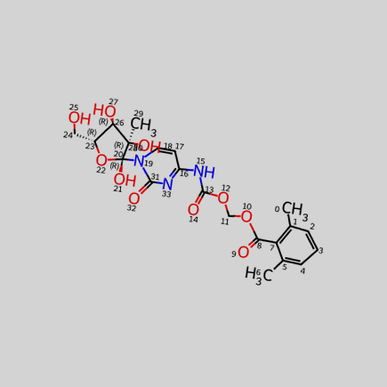 Cc1cccc(C)c1C(=O)OCOC(=O)Nc1ccn([C@]2(O)O[C@H](CO)[C@@H](O)[C@@]2(C)O)c(=O)n1